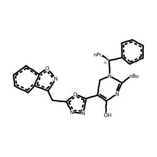 CCCCC1=NC(O)=C(c2nnc(Cc3noc4ccccc34)o2)CN1[C@@H](CCC)c1ccccc1